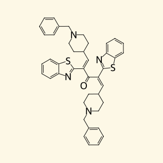 O=C(C(=CC1CCN(Cc2ccccc2)CC1)c1nc2ccccc2s1)C(=CC1CCN(Cc2ccccc2)CC1)c1nc2ccccc2s1